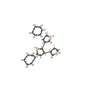 c1cc(-c2ccsc2-c2ccsc2)cs1.c1ccccc1.c1ccccc1